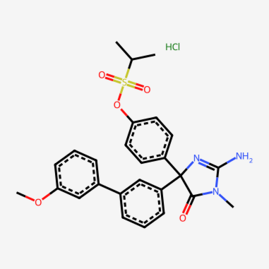 COc1cccc(-c2cccc(C3(c4ccc(OS(=O)(=O)C(C)C)cc4)N=C(N)N(C)C3=O)c2)c1.Cl